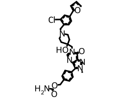 Cn1nc2c(=O)n(CC3(O)CCN(Cc4ccc(-c5ccco5)cc4Cl)CC3)cnc2c1-c1ccc(COC(N)=O)cc1